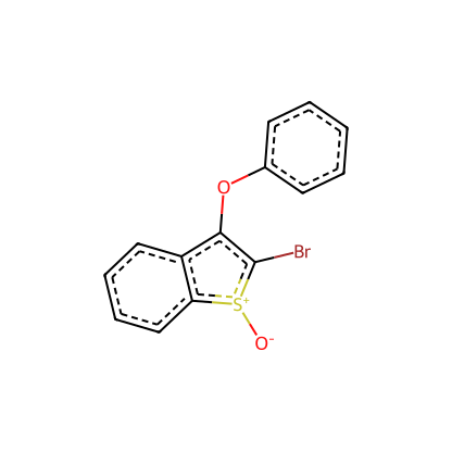 [O-][s+]1c(Br)c(Oc2ccccc2)c2ccccc21